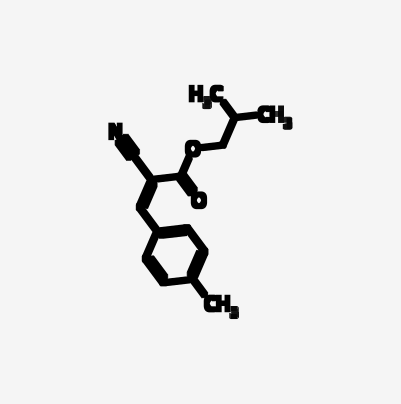 Cc1ccc(C=C(C#N)C(=O)OCC(C)C)cc1